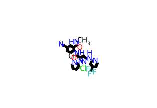 CNC(=O)c1cc(C#N)cc(C)c1NC(=O)c1cc(Nc2cc(C(F)(F)F)ccn2)nn1-c1ncccc1Cl